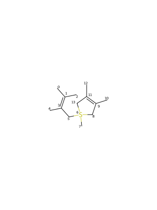 CC(C)=C(C)CS1(C)CC(C)=C(C)C1